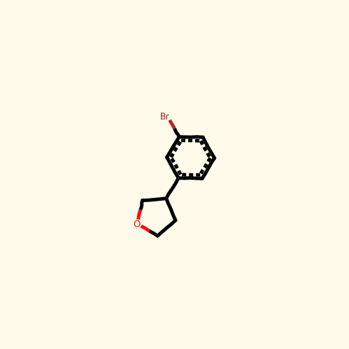 Brc1cccc(C2CCOC2)c1